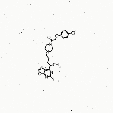 CC(CCCN1CCN(C(=O)COc2ccc(Cl)cc2)CC1)c1nc(N)nc2ocnc12